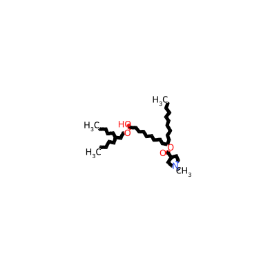 CCCCCCCCCCC(CCCCCCCCC(O)OCCC(CCCCC)CCCCC)OC(=O)C1CCN(C)CC1